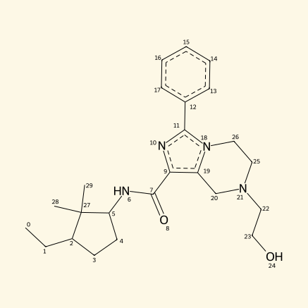 CCC1CCC(NC(=O)c2nc(-c3ccccc3)n3c2CN(CCO)CC3)C1(C)C